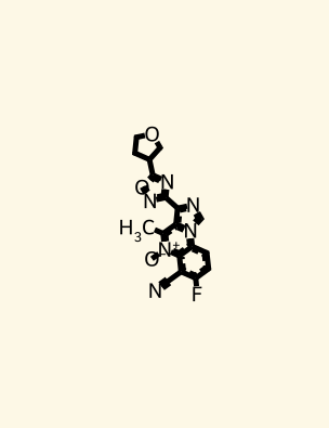 Cc1c2c(-c3noc(C4CCOC4)n3)ncn2c2ccc(F)c(C#N)c2[n+]1[O-]